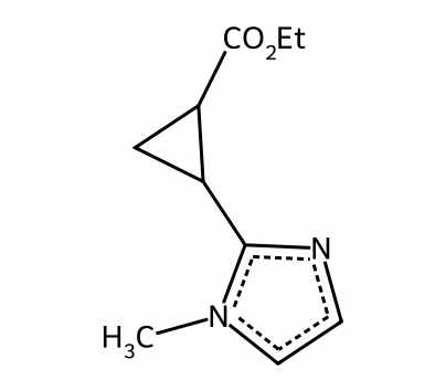 CCOC(=O)C1CC1c1nccn1C